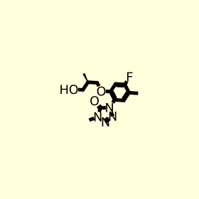 Cc1cc(-n2nnn(C)c2=O)c(OC[C@H](C)CO)cc1F